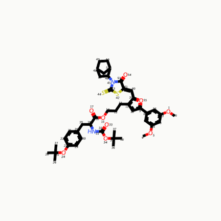 COc1cc(OC)cc(-c2cc(CCCOC(=O)C(Cc3ccc(OC(C)(C)C)cc3)NC(=O)OC(C)(C)C)c(C=C3SC(=S)N(C4CC5CCC4C5)C3=O)o2)c1